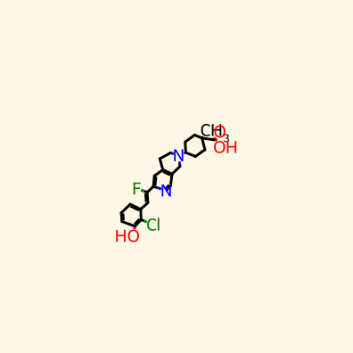 C[C@]1(C(=O)O)CC[C@H](N2CCc3cc(/C(F)=C/c4cccc(O)c4Cl)ncc3C2)CC1